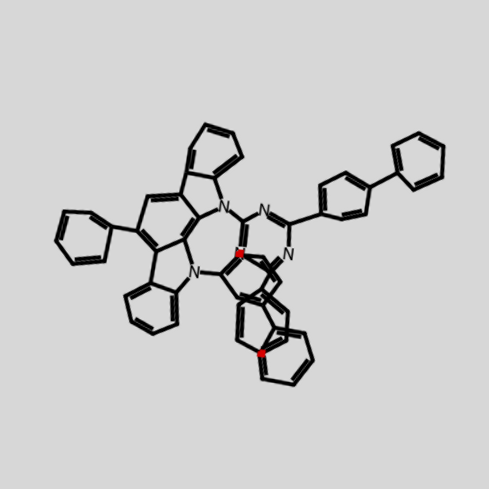 c1ccc(-c2ccc(-c3nc(-c4ccccc4)nc(-n4c5ccccc5c5cc(-c6ccccc6)c6c7ccccc7n(-c7cccc(-c8ccccc8)c7)c6c54)n3)cc2)cc1